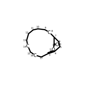 O=C1OC2=CCCC1CCCCCCCCCC2